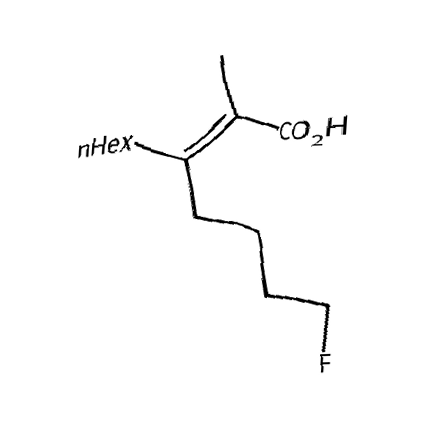 CCCCCCC(CCCCF)=C(C)C(=O)O